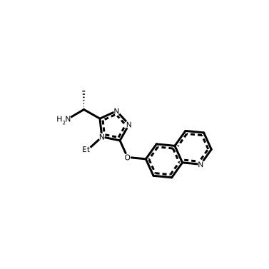 CCn1c(Oc2ccc3ncccc3c2)nnc1[C@@H](C)N